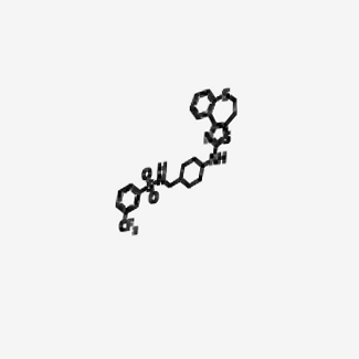 O=S(=O)(NCC1CCC(Nc2nc3c(s2)CCSc2ccccc2-3)CC1)c1cccc(C(F)(F)F)c1